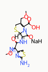 COCC1=C(C(=O)O)N2C(=O)[C@@H](NC(=O)/C(=N/OC)c3csc(N)n3)[C@H]2SC1.[NaH]